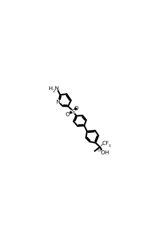 C[C@](O)(c1ccc(-c2ccc(S(=O)(=O)c3ccc(N)nc3)cc2)cc1)C(F)(F)F